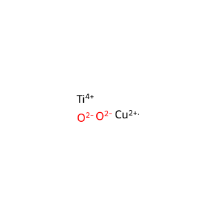 [Cu+2].[O-2].[O-2].[Ti+4]